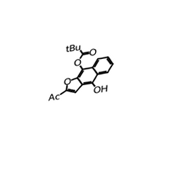 CC(=O)c1cc2c(O)c3ccccc3c(OC(=O)C(C)(C)C)c2o1